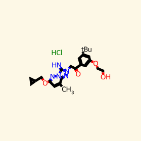 Cc1cc(OCC2CC2)nn2c(=N)n(CC(=O)c3cc(OCCO)cc(C(C)(C)C)c3)nc12.Cl